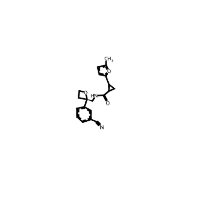 Cc1ccc(C2CC2C(=O)NC[C@@]2(c3cccc(C#N)c3)CCO2)o1